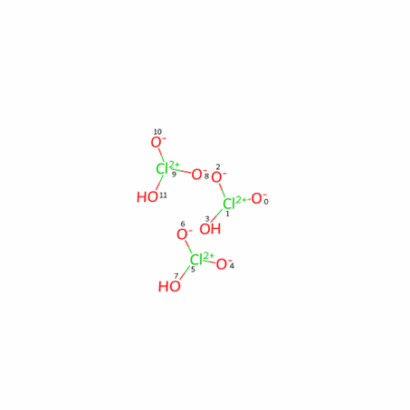 [O-][Cl+2]([O-])O.[O-][Cl+2]([O-])O.[O-][Cl+2]([O-])O